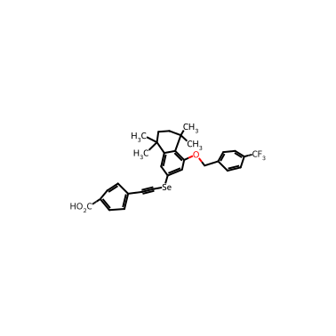 CC1(C)CCC(C)(C)c2c(OCc3ccc(C(F)(F)F)cc3)cc([Se]C#Cc3ccc(C(=O)O)cc3)cc21